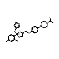 CC(=O)N1CCN(c2ccc(OC[C@H]3CO[C@](Cn4ccnc4)(c4ccc(C)cc4F)O3)cc2)CC1